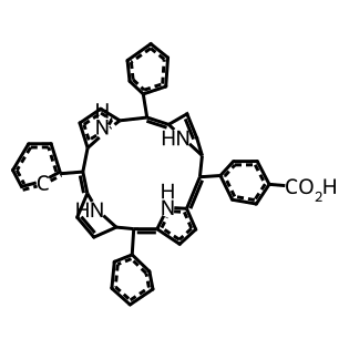 O=C(O)c1ccc(/C2=c3\cc/c([nH]3)=C(\c3ccccc3)C3C=C/C(=C(\c4ccccc4)c4ccc([nH]4)/C(c4ccccc4)=C4/C=CC2N4)N3)cc1